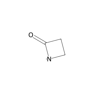 O=C1CC[N]1